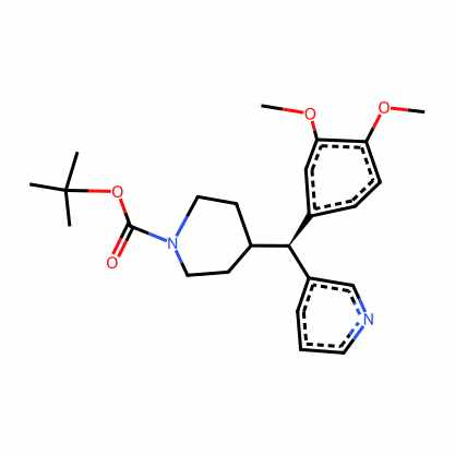 COc1ccc([C@@H](c2cccnc2)C2CCN(C(=O)OC(C)(C)C)CC2)cc1OC